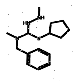 CNNC(SC1CCCC1)N(C)Cc1ccccc1